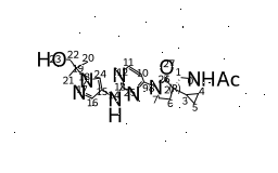 CC(=O)NC[C@]1(C2CC2)CCN(c2ccnc(Nc3cnn(C(C)(C)CO)c3)n2)C1=O